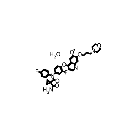 COc1cc2c(Oc3ccc(N(C(=O)C4(C(N)=O)CC4)c4ccc(F)cc4)cc3F)ccnc2cc1OCCCN1CCOCC1.O